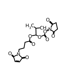 CC(C)C(OC(=O)CCCN1C(=O)C=CC1=O)OC(=O)ON1C(=O)CCC1=O